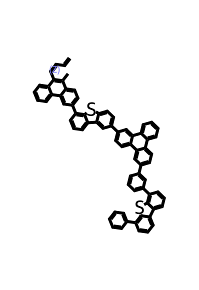 C=C/C=C\c1c(C)c2ccc(-c3cccc4c3sc3ccc(-c5ccc6c7cc(-c8cccc(-c9cccc%10c9sc9c(-c%11ccccc%11)cccc9%10)c8)ccc7c7ccccc7c6c5)cc34)cc2c2ccccc12